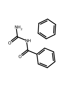 NC(=O)NC(=O)c1ccccc1.c1ccccc1